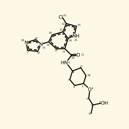 CC(O)COC1CCC(NC(=O)c2cc(-n3ccnc3)cc3c(Cl)c[nH]c23)CC1